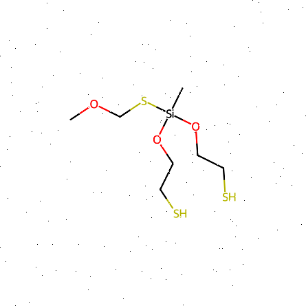 COCS[Si](C)(OCCS)OCCS